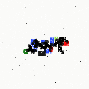 CC[C@@H](C)Nc1cc(-c2cnn3cc(Cl)cnc23)ncc1C(=O)NCC(F)C(C)(C)O